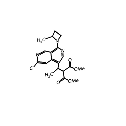 COC(=O)C(C(=O)OC)C(C)c1cnc(N2CCC2C)c2cnc(Cl)cc12